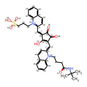 CC(C)(C)NC(=O)CCCN1/C(=C/C2=C(O)C(=C/c3ccc4ccccc4[n+]3CCCS(=O)(=O)O)/C(=O)C2=O)C=Cc2ccccc21